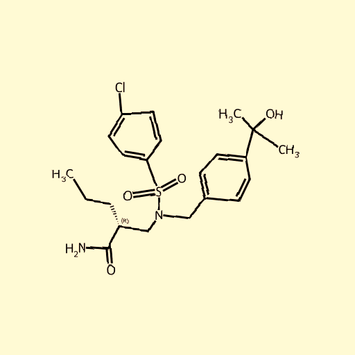 CCC[C@H](CN(Cc1ccc(C(C)(C)O)cc1)S(=O)(=O)c1ccc(Cl)cc1)C(N)=O